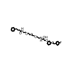 O=C(CCCc1ccccc1)NCCOCCOCCOCCNCC(O)COc1cccc(OCc2ccc(F)cc2)c1